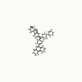 c1ccc(-c2ccc(N(c3ccc(-c4cc5ccccc5c5ccccc45)cc3)c3ccc4c(c3)sc3cnccc34)cc2)cc1